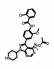 CC(=O)O.COc1cc(-c2nn(C3CCNCC3)c3ncnc(N)c23)ccc1NC(=O)c1ccccc1Cl